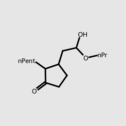 CCCCCC1C(=O)CCC1CC(O)OCCC